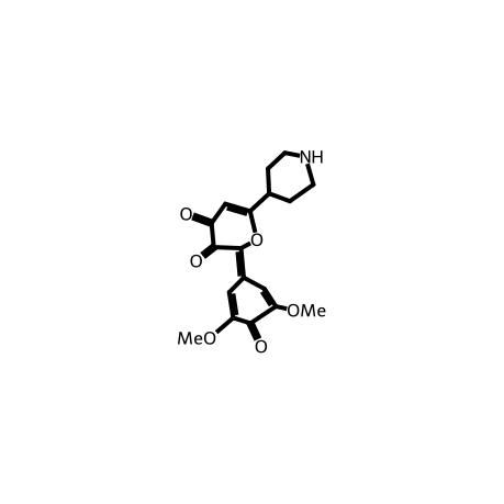 COC1=CC(=C2OC(C3CCNCC3)=CC(=O)C2=O)C=C(OC)C1=O